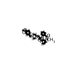 CN1C(=O)c2ccccc2N(C(=O)CN2CCN(Cc3ccc4c(c3)OCO4)CC2)c2ncccc21